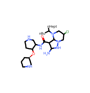 CCCCCCCC(CCCC)N1CC(Cl)CN2NC(N)C(C(=O)NC3CNCCC3O[C@@H]3CCCNC3)C21